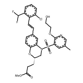 COC(=O)CC[C@H]1CN(S(=O)(=O)c2cc(C)cnc2OCCO)c2cc(/C=C/c3c(Cl)cccc3C(F)F)ccc2O1